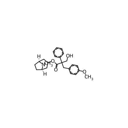 COc1ccc(CC(CO)(C(=O)OC2C[C@H]3CC[C@@H](C2)N3C)c2ccccc2)cc1